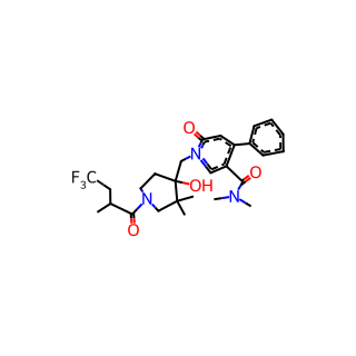 CC(CC(F)(F)F)C(=O)N1CCC(O)(Cn2cc(C(=O)N(C)C)c(-c3ccccc3)cc2=O)C(C)(C)C1